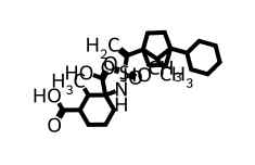 C=C(C12CCC(C3CCCCC3)(CC1O)C2(C)C)S(=O)(=O)NC1(C(=O)O)CCCC(C(=O)O)C1C